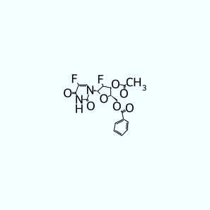 CC(=O)O[C@H]1[C@H](F)[C@H](n2cc(F)c(=O)[nH]c2=O)O[C@@H]1COC(=O)c1ccccc1